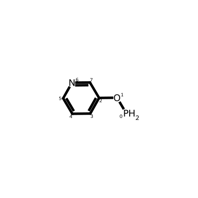 POc1cccnc1